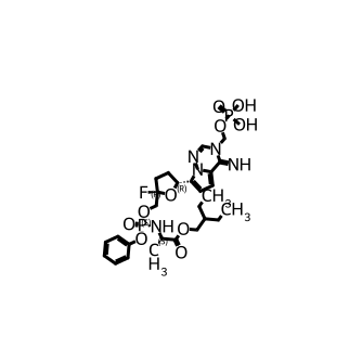 CCC(CC)COC(=O)[C@H](C)N[P@](=O)(OC[C@]1(F)CC[C@H](c2ccc3c(=N)n(COP(=O)(O)O)cnn23)O1)Oc1ccccc1